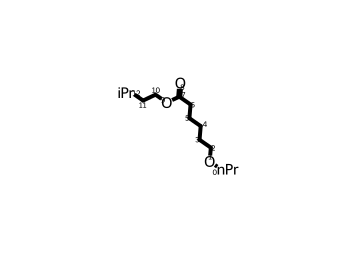 CCCOCCCCCC(=O)OCCC(C)C